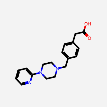 O=C(O)Cc1ccc(CN2CCN(c3ccccn3)CC2)cc1